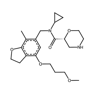 COCCCOc1cc(CN(C(=O)[C@H]2CNCCO2)C2CC2)c(C)c2c1CCO2